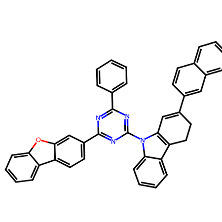 C1=C(c2ccc3ccccc3c2)CCc2c1n(-c1nc(-c3ccccc3)nc(-c3ccc4c(c3)oc3ccccc34)n1)c1ccccc21